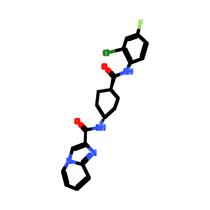 O=C(N[C@H]1CC[C@H](C(=O)Nc2ccc(F)cc2Cl)CC1)c1cn2ccccc2n1